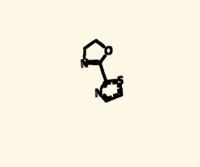 c1csc(C2=NCCO2)n1